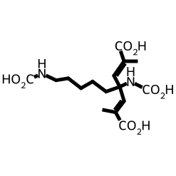 CC(=CC(C=C(C)C(=O)O)(CCCCCNC(=O)O)NC(=O)O)C(=O)O